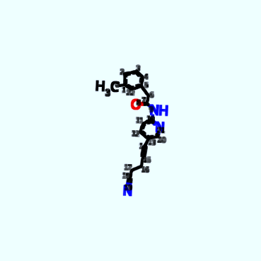 Cc1cccc(CC(=O)Nc2ccc(C#CCCC#N)cn2)c1